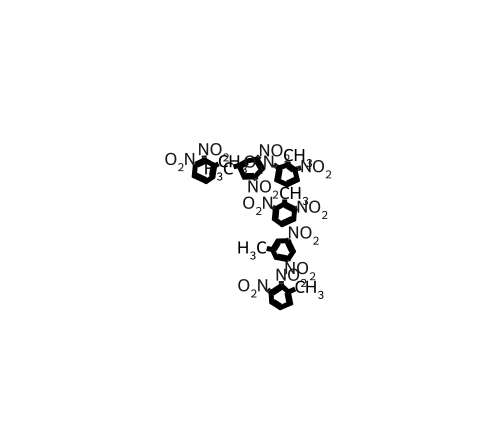 Cc1c([N+](=O)[O-])cccc1[N+](=O)[O-].Cc1c([N+](=O)[O-])cccc1[N+](=O)[O-].Cc1cc([N+](=O)[O-])cc([N+](=O)[O-])c1.Cc1cc([N+](=O)[O-])cc([N+](=O)[O-])c1.Cc1cccc([N+](=O)[O-])c1[N+](=O)[O-].Cc1cccc([N+](=O)[O-])c1[N+](=O)[O-]